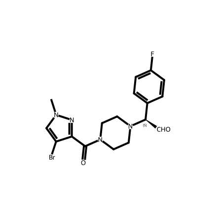 Cn1cc(Br)c(C(=O)N2CCN([C@H](C=O)c3ccc(F)cc3)CC2)n1